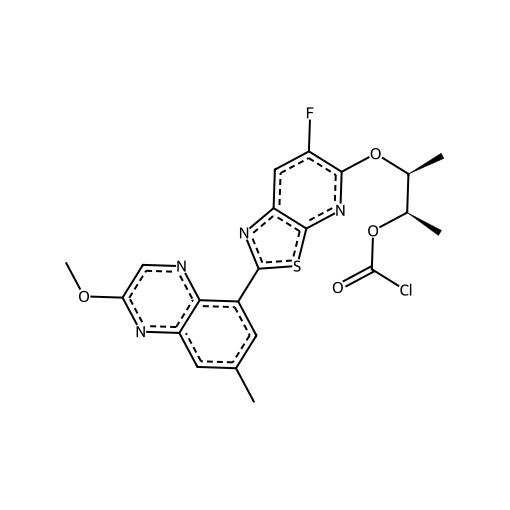 COc1cnc2c(-c3nc4cc(F)c(O[C@@H](C)[C@@H](C)OC(=O)Cl)nc4s3)cc(C)cc2n1